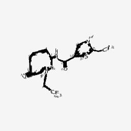 O=C(Nc1ccc(=O)n(CC(F)(F)F)n1)c1cnc(Cl)s1